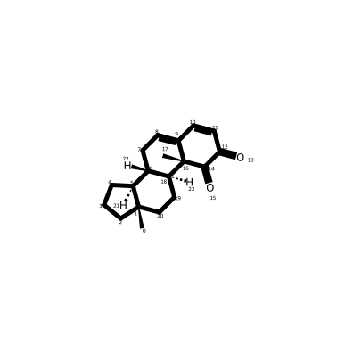 C[C@@]12CCC[C@H]1[C@@H]1CC=C3C=CC(=O)C(=O)[C@]3(C)[C@H]1CC2